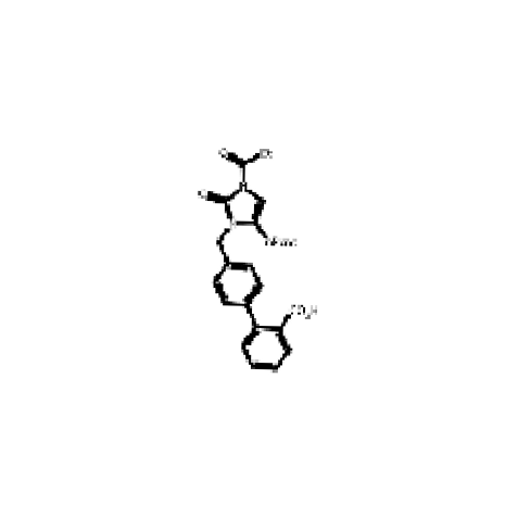 CCCCCc1cn(C(=O)CC)c(=O)n1Cc1ccc(-c2ccccc2C(=O)O)cc1